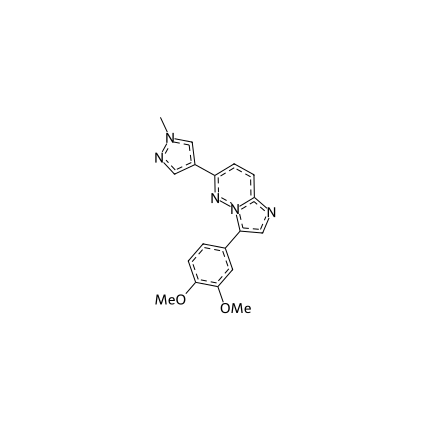 COc1ccc(-c2cnc3ccc(-c4cnn(C)c4)nn23)cc1OC